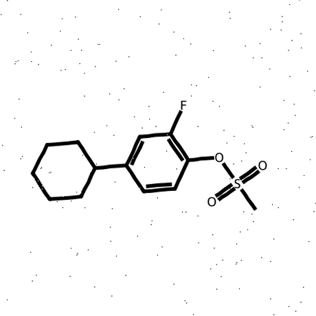 CS(=O)(=O)Oc1ccc(C2CCCCC2)cc1F